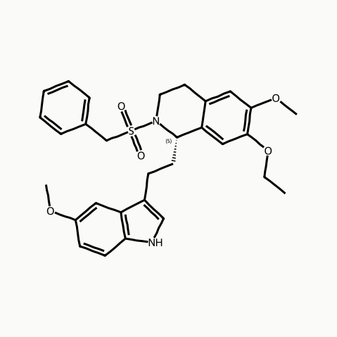 CCOc1cc2c(cc1OC)CCN(S(=O)(=O)Cc1ccccc1)[C@H]2CCc1c[nH]c2ccc(OC)cc12